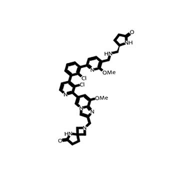 COc1nc(-c2cccc(-c3ccnc(-c4cc(OC)c5nc(CN6CC7(CCC(=O)N7)C6)cn5c4)c3Cl)c2Cl)ccc1CNC[C@H]1CCC(=O)N1